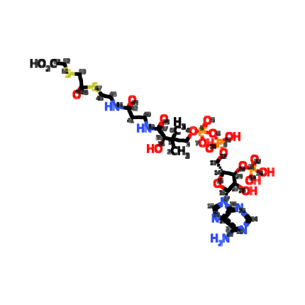 CC(C)(COP(=O)(O)OP(=O)(O)OC[C@H]1O[C@@H](n2cnc3c(N)ncnc32)[C@H](O)[C@@H]1OP(=O)(O)O)[C@@H](O)C(=O)NCCC(=O)NCCSC(=O)CSCC(=O)O